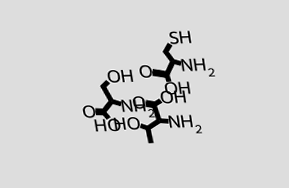 CC(O)C(N)C(=O)O.NC(CO)C(=O)O.NC(CS)C(=O)O